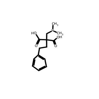 CN(C)CC(CCc1ccccc1)(C(=O)O)C(=O)O